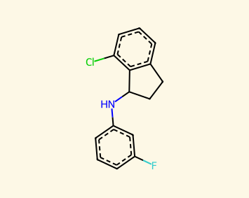 Fc1cccc(NC2CCc3cccc(Cl)c32)c1